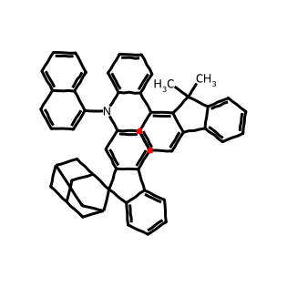 CC1(C)c2ccccc2-c2cccc(-c3ccccc3N(c3ccc4c(c3)C3(c5ccccc5-4)C4CC5CC(C4)CC3C5)c3cccc4ccccc34)c21